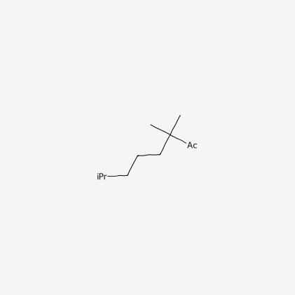 CC(=O)C(C)(C)CCCC(C)C